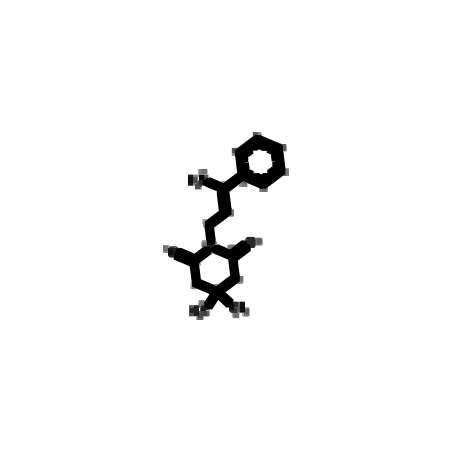 CC1(C)CC(=O)N(CC=C(N)c2ccccc2)C(=O)C1